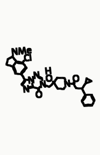 CNC1CCc2cc(-c3cnc4c(=O)n(CC5(O)CCN(C(=O)CC(c6ccccc6)C6CC6)CC5)cnn34)cc(Cl)c21